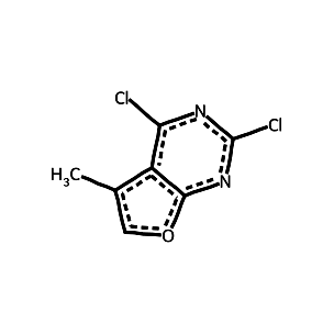 Cc1coc2nc(Cl)nc(Cl)c12